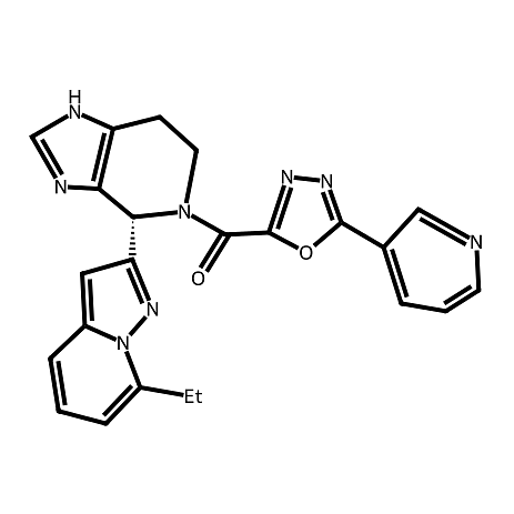 CCc1cccc2cc([C@@H]3c4nc[nH]c4CCN3C(=O)c3nnc(-c4cccnc4)o3)nn12